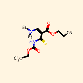 CCN(/C=C(/C(=O)OCCC#N)C(=S)NC(=O)OCC(Cl)(Cl)Cl)CC